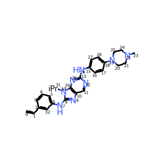 C=Cc1cccc(Nc2nc3cnc(Nc4ccc(N5CCN(C)CC5)cc4)nc3n2C(C)C)c1